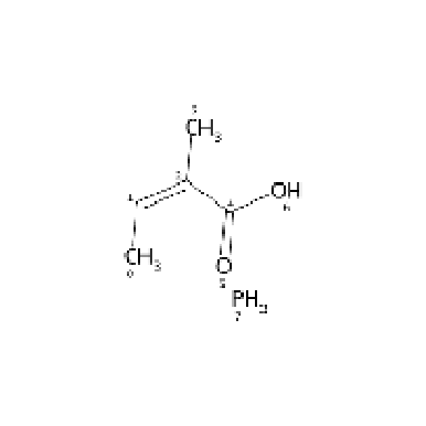 CC=C(C)C(=O)O.P